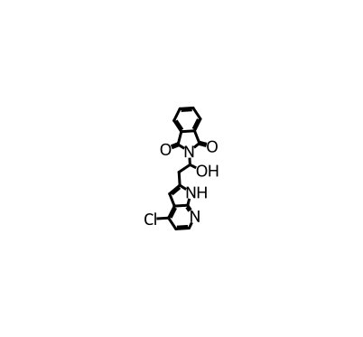 O=C1c2ccccc2C(=O)N1C(O)Cc1cc2c(Cl)ccnc2[nH]1